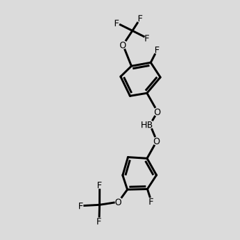 Fc1cc(OBOc2ccc(OC(F)(F)F)c(F)c2)ccc1OC(F)(F)F